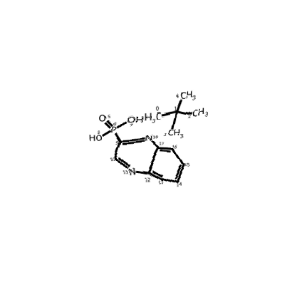 CC(C)(C)C.O=P(O)(O)c1cnc2ccccc2n1